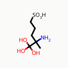 CC(N)(CCCS(=O)(=O)O)C(O)(O)O